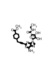 CCNC(=O)[C@H]1O[C@@H](n2cnc3c(N)nc(C#CCC4CCC(C(=O)OC)CC4)nc32)C(O)[C@H]1O